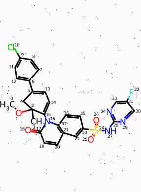 COC1(C)CC(c2ccc(Cl)cc2)=CC=C1n1c(=O)ccc2cc(S(=O)(=O)Nc3ncc(F)cn3)ccc21